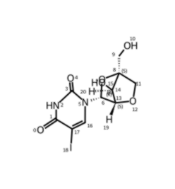 O=c1[nH]c(=O)n([C@@H]2O[C@@]3(CO)CO[C@H]2[C@H]3O)cc1I